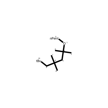 CCCCCOC(C)(C)CC(C)(C)CC(C)(C)C